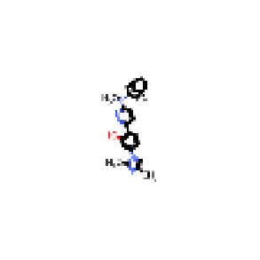 Cc1cn(-c2ccc(-c3ccc(N(C)[C@H]4CC5CC[C@@H](C5)C4)nn3)c(O)c2)c(C)n1